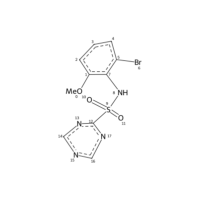 COc1cccc(Br)c1NS(=O)(=O)c1ncncn1